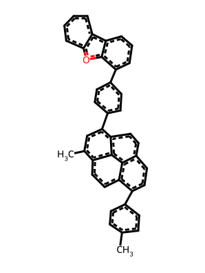 Cc1ccc(-c2ccc3ccc4c(-c5ccc(-c6cccc7c6oc6ccccc67)cc5)cc(C)c5ccc2c3c54)cc1